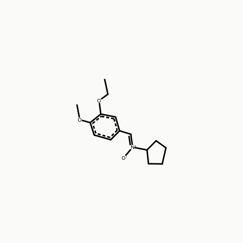 CCOc1cc(C=[N+]([O-])C2CCCC2)ccc1OC